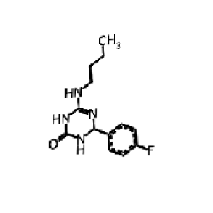 CCCCNC1=NC(c2ccc(F)cc2)NC(=O)N1